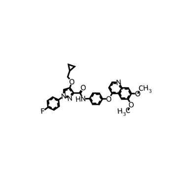 COc1cc2nccc(Oc3ccc(NC(=O)c4nn(-c5ccc(F)cc5)cc4OCC4CC4)cc3)c2cc1OC